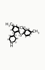 Cc1ccc(Sc2ccc(C)cc2C2=CCNCC2)c(Cl)c1